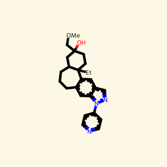 CCC12CCC(O)(COC)CC1CCCc1cc3c(cnn3-c3ccncc3)cc12